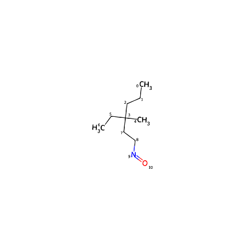 CCCC(C)(CC)CCN=O